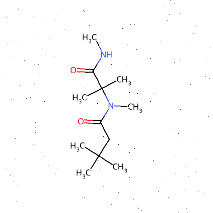 CNC(=O)C(C)(C)N(C)C(=O)CC(C)(C)C